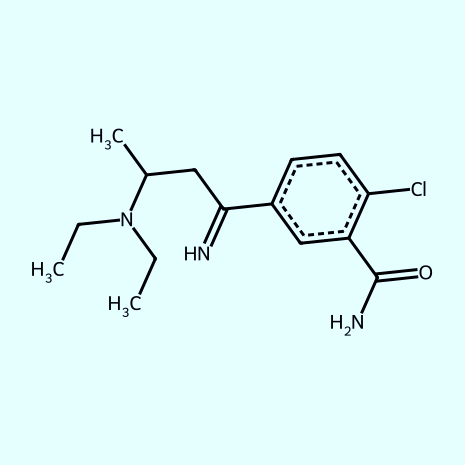 CCN(CC)C(C)CC(=N)c1ccc(Cl)c(C(N)=O)c1